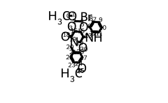 COC(=O)COc1c(Br)cccc1NC1CCC(=O)N(Cc2ccc(OC)cc2)C1=O